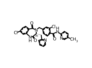 Cc1ccc(NC(=O)c2ccc(CN3C(=O)c4ccc(Cl)cc4NC(=O)[C@H]3Cc3ccccn3)cc2Cl)nc1